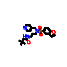 CC(C)(C)CC(=O)NCCCN(Cc1ccncc1)S(=O)(=O)c1ccc2occc2c1